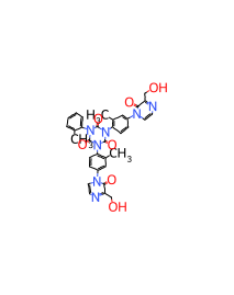 Cc1ccccc1-n1c(=O)n(-c2ccc(-n3ccnc(CO)c3=O)cc2C)c(=O)n(-c2ccc(-n3ccnc(CO)c3=O)cc2C)c1=O